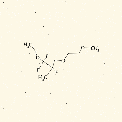 CCOC(F)(F)C(C)(F)COCCOC